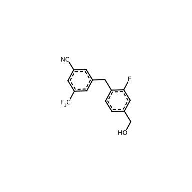 N#Cc1cc(Cc2ccc(CO)cc2F)cc(C(F)(F)F)c1